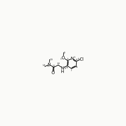 COc1nc(Cl)ccc1NCC(=O)N(C)C